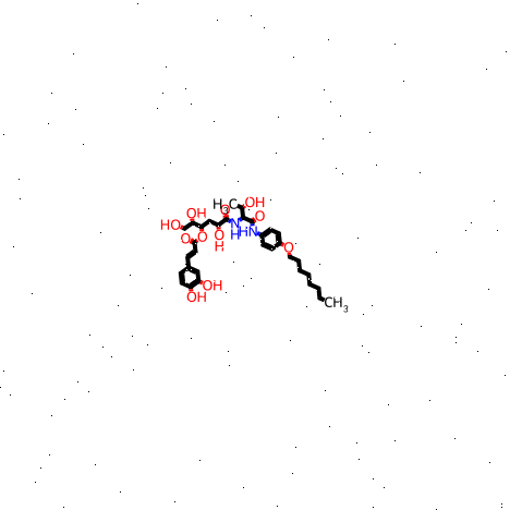 CCCCCCCCOc1ccc(NC(=O)C(NC(=O)C(O)CC(OC(=O)/C=C/c2ccc(O)c(O)c2)C(O)CO)C(C)O)cc1